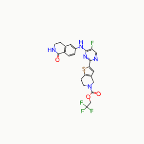 O=C1NCCc2cc(Nc3nc(-c4cc5c(s4)CCN(C(=O)OCC(F)(F)F)C5)ncc3F)ccc21